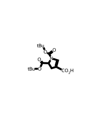 CC(C)(C)OC(=O)C1CC(C(=O)O)=CN1C(=O)OC(C)(C)C